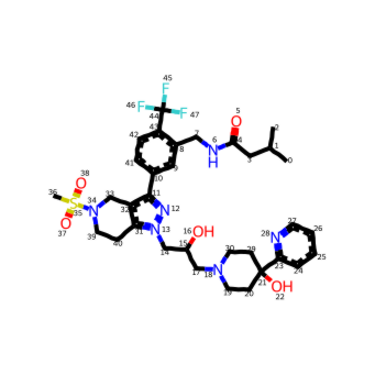 CC(C)CC(=O)NCc1cc(-c2nn(CC(O)CN3CCC(O)(c4ccccn4)CC3)c3c2CN(S(C)(=O)=O)CC3)ccc1C(F)(F)F